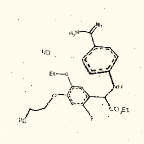 CCOC(=O)C(Nc1ccc(C(=N)N)cc1)c1cc(OCC)c(OCCO)cc1F.Cl